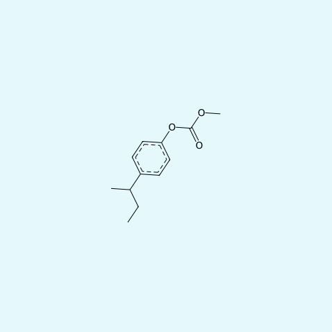 CCC(C)c1ccc(OC(=O)OC)cc1